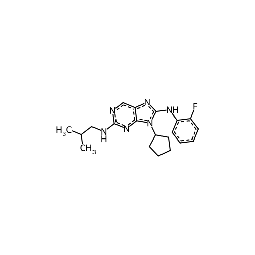 CC(C)CNc1ncc2nc(Nc3ccccc3F)n(C3CCCC3)c2n1